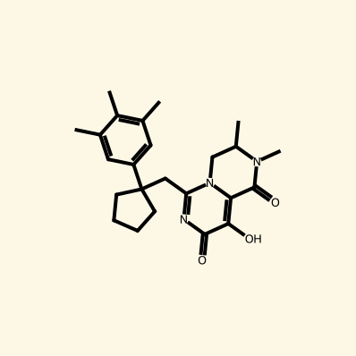 Cc1cc(C2(Cc3nc(=O)c(O)c4n3CC(C)N(C)C4=O)CCCC2)cc(C)c1C